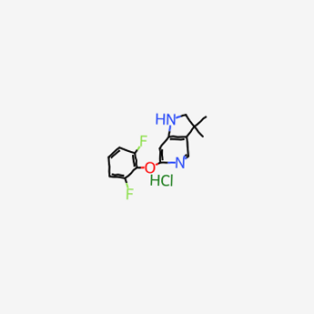 CC1(C)CNc2cc(Oc3c(F)cccc3F)ncc21.Cl